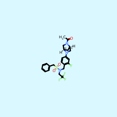 CC(=O)N1C[C@H]2C[C@@H]1CN2c1ccc(CN(CC(F)(F)F)S(=O)(=O)Cc2ccccc2)c(F)c1